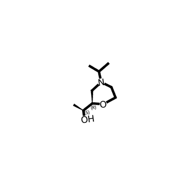 CC(C)N1CCO[C@@H]([C@H](C)O)C1